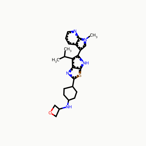 CC(C)c1c(-c2cn(C)c3ncccc23)[nH]c2sc(C3CCC(NC4COC4)CC3)nc12